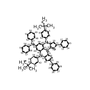 CC(C)(C)c1ccc(N2c3cc(-c4ccccc4)sc3B3c4sc(-c5ccccc5)cc4N(C4=CCC(C(C)(C)C)C=C4)c4cc(N(c5ccccc5)c5ccccc5)cc2c43)cc1